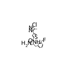 Cc1c(Cl)nn(C)c1-c1csc(C(=O)N[C@H](CN)Cc2cccc(CF)c2)c1